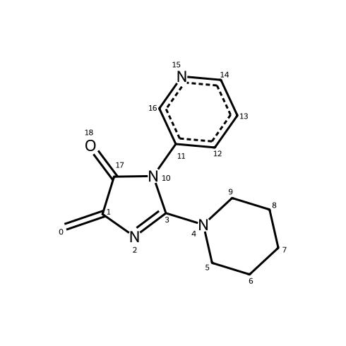 C=C1N=C(N2CCCCC2)N(c2cccnc2)C1=O